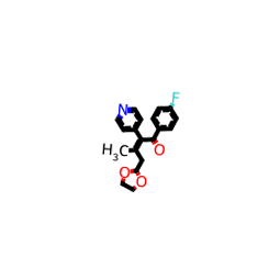 C/C(CC1OCCO1)=C(/C(=O)c1ccc(F)cc1)c1ccncc1